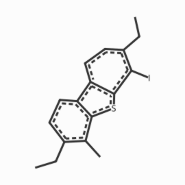 CCc1ccc2c(sc3c(I)c(CC)ccc32)c1C